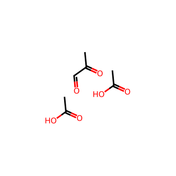 CC(=O)C=O.CC(=O)O.CC(=O)O